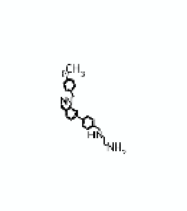 COc1ccc(Cn2ncc3ccc(-c4ccc(CNCCN)cc4)cc32)cc1